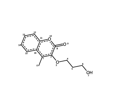 Cc1c(OCCCO)c(=O)oc2ccccc12